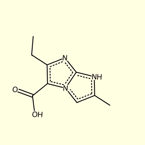 CCc1nc2[nH]c(C)cn2c1C(=O)O